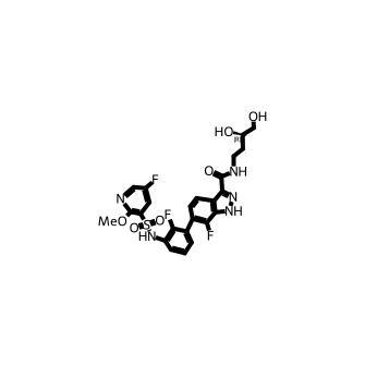 COc1ncc(F)cc1S(=O)(=O)Nc1cccc(-c2ccc3c(C(=O)NCC[C@@H](O)CO)n[nH]c3c2F)c1F